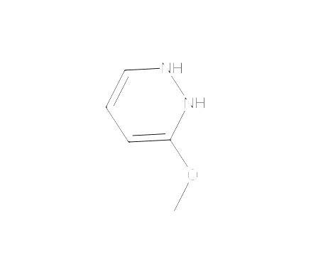 COC1=CC=CNN1